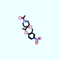 CC(=O)N1CCC2(CC1)OCc1cc([N+](=O)[O-])ccc1OC2C